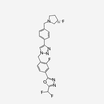 Fc1cc(-c2nnc(C(F)F)o2)ccc1Cn1cc(-c2ccc(CN3CC[C@H](F)C3)cc2)nn1